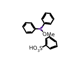 COI(c1ccccc1)c1ccccc1.O=S(=O)(O)c1ccccc1